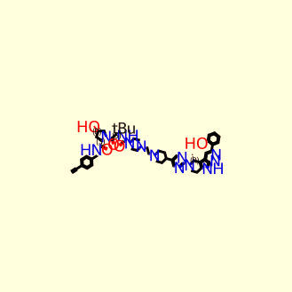 C#Cc1ccc(CNC(=O)[C@@H]2C[C@@H](O)CN2C(=O)[C@@H](NC(=O)N2CCN(CCN3CCC(c4cnc(N5CCc6[nH]c7nnc(-c8ccccc8O)cc7c6[C@H]5C)nc4)CC3)CC2)C(C)(C)C)cc1